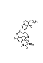 CN(C)c1c(-c2ccc3ccc(C(=O)O)c(=O)n3c2)cnc2[nH]c3c(N(C)C(=O)OC(C)(C)C)cc(F)c(F)c3c12